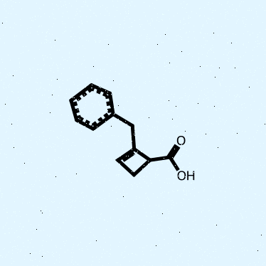 O=C(O)C1CC=C1Cc1ccccc1